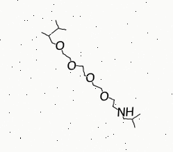 CC(C)CNCCOCCOCCOCCOCC(C)C(C)C